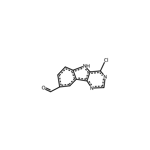 O=Cc1ccc2[nH]c3c(Cl)ncnc3c2c1